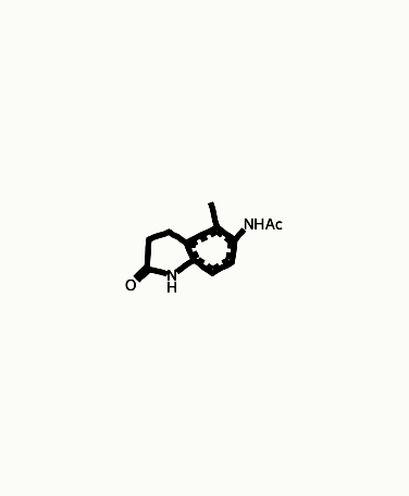 CC(=O)Nc1ccc2c(c1C)CCC(=O)N2